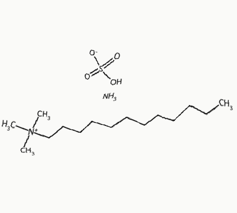 CCCCCCCCCCCC[N+](C)(C)C.N.O=S(=O)([O-])O